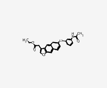 CCOC(=O)Cc1coc2cc3ccc(Oc4cccc(NC(C)=O)c4)cc3cc12